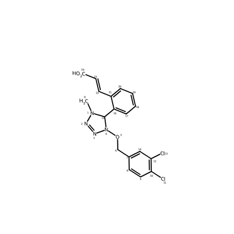 CN1N=NN(OCc2ccc(Cl)c(Cl)c2)C1c1ccccc1C=CC(=O)O